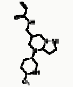 C=CC(=O)NCC1CN2NCCC2N(C2CCC(C(F)(F)F)NC2)C1